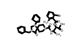 Cc1cccc(Br)c1C(=O)NC(C(=O)O)C(C)NC(=O)N1CCC2(CC1)C(=O)N(Cc1ccccc1)CN2c1ccccc1